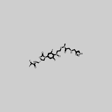 CCN(CCON(C)C(=O)CNCc1c[nH]nn1)c1c(F)cc(N2C[C@H](CNC(=O)C(F)F)OC2=O)cc1F